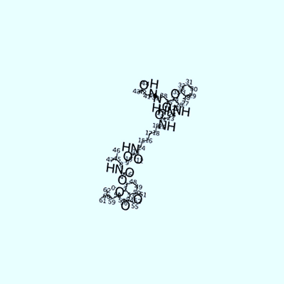 COC1C(OC(=O)N[C@@H](COC(=O)NCCCCCCNC(=O)CNN[C@@H](Cc2ccccc2)C(=O)C(=O)CNNCC(C)=O)C(C)C)CC[C@]2(CO2)C1C1(C)O[C@@H]1CC=C(C)C